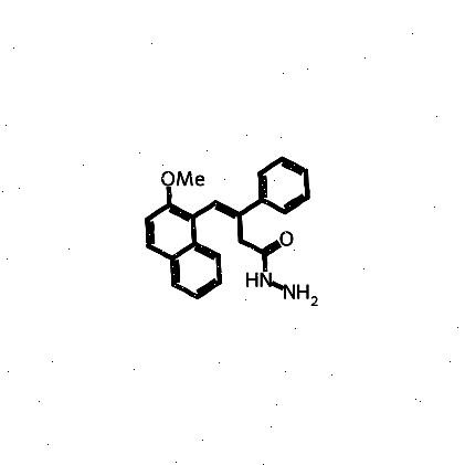 COc1ccc2ccccc2c1C=C(CC(=O)NN)c1ccccc1